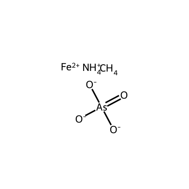 C.O=[As]([O-])([O-])[O-].[Fe+2].[NH4+]